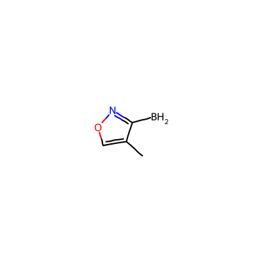 Bc1nocc1C